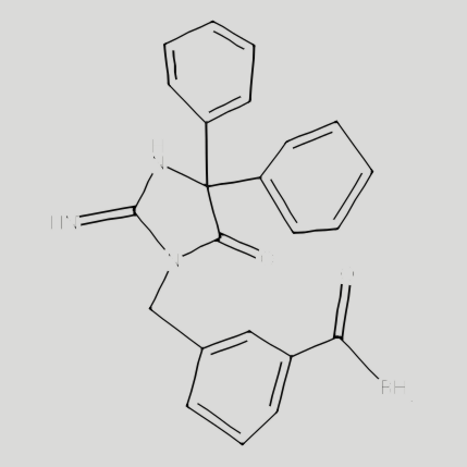 BC(=O)c1cccc(CN2C(=N)NC(c3ccccc3)(c3ccccc3)C2=O)c1